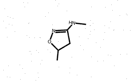 CNC1=NOC(C)C1